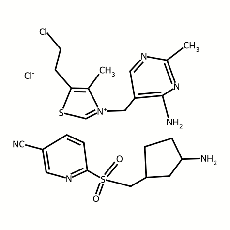 Cc1ncc(C[n+]2csc(CCCl)c2C)c(N)n1.N#Cc1ccc(S(=O)(=O)CC2CCC(N)C2)nc1.[Cl-]